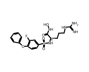 N=C(N)NCCC[C@@H](NS(=O)(=O)c1ccc(Oc2ccccc2)c(F)c1)C(=O)NO